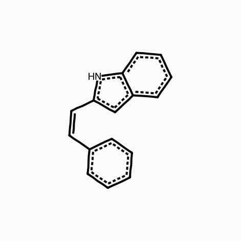 C(=C/c1cc2ccccc2[nH]1)/c1ccccc1